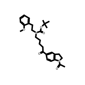 COc1ccccc1CCN(CCCCC(=O)c1ccc2c(c1)CCN2C(C)=O)C(=O)OC(C)(C)C